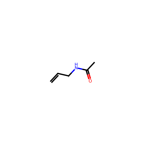 C=C[CH]NC(C)=O